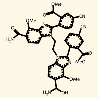 COC(=O)c1cc(C#N)ccc1-c1nc2c(OC)c(C(N)=O)ccc2n1CCn1c(-c2ccc(C#N)cc2C(=O)OC)nc2c(OC)c(C(N)O)ccc21